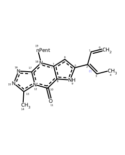 C=C/C(=C\C)c1cc2c([nH]1)c(=O)n1c(C)nnc1n2CCCCC